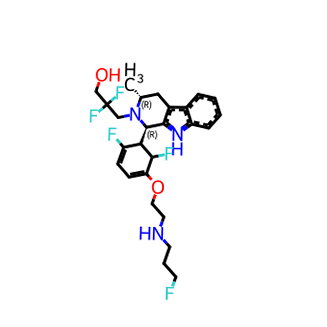 C[C@@H]1Cc2c([nH]c3ccccc23)[C@@H](C2C(F)=CC=C(OCCNCCCF)C2F)N1CC(F)(F)CO